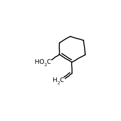 C=CC1=C(C(=O)O)CCCC1